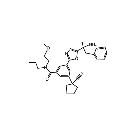 CCCN(CCOC)C(=O)c1cc(-c2nnc([C@](C)(N)Cc3ccccc3)o2)cc(C2(C#N)CCCC2)c1